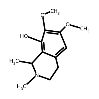 COc1cc2c(c(O)c1OC)C(C)N(C)CC2